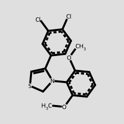 COc1cccc(OC)c1N1CSC=C1c1ccc(Cl)c(Cl)c1